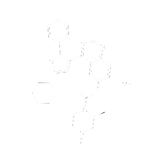 COc1cc2ncnc(-c3cn(C4CCCCO4)nc3-c3ccccc3)c2cc1OC(=O)N1CCN(C)C[C@@H]1C